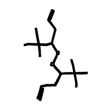 C=CCC(OOC(CC=C)C(C)(C)C)C(C)(C)C